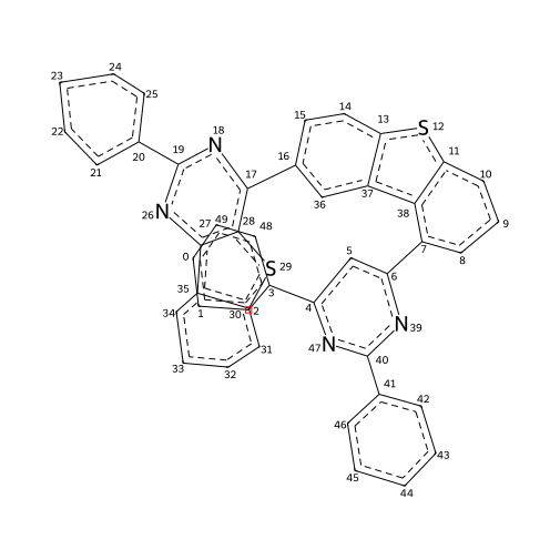 c1ccc(-c2cc(-c3cccc4sc5ccc(-c6nc(-c7ccccc7)nc7c6sc6ccccc67)cc5c34)nc(-c3ccccc3)n2)cc1